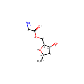 B[C@@H]1C[C@H](O)[C@H](COC(=O)CN)O1